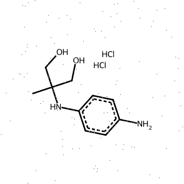 CC(CO)(CO)Nc1ccc(N)cc1.Cl.Cl